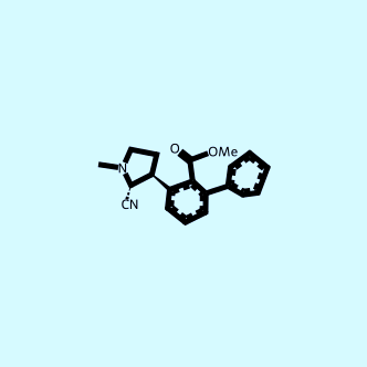 COC(=O)c1c(-c2ccccc2)cccc1[C@@H]1CCN(C)[C@H]1C#N